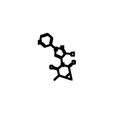 CC1C(=O)N(c2cn(-c3cccnc3)nc2Cl)C(=O)C2CC12